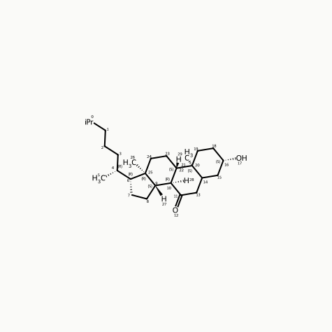 CC(C)CCC[C@@H](C)[C@H]1CC[C@H]2[C@@H]3C(=O)CC4C[C@@H](O)CC[C@]4(C)[C@H]3CC[C@]12C